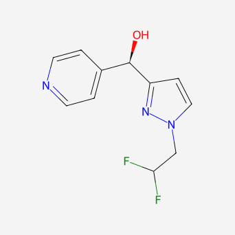 O[C@H](c1ccncc1)c1ccn(CC(F)F)n1